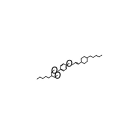 CCCCCC1CCC(C=CCOc2ccc(C3OCC(CCCCC)CO3)cc2)CC1